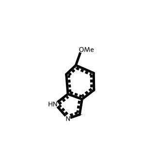 COc1ccc2[c]n[nH]c2c1